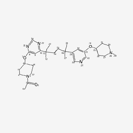 CC(=O)N1CCC(Oc2cc(C(C)(C)CCC(C)(C)c3cncc(OC4CCN(C)CC4)c3)ncn2)CC1